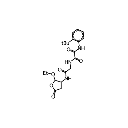 CCOC1OC(=O)CC1NC(=O)CNC(=O)C(=O)Nc1ccccc1C(C)(C)C